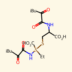 CCC(C)C(=O)C(=O)NC(CSS(CC)(NC(=O)C(=O)C(C)CC)C(=O)O)C(=O)O